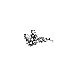 CN1CCN(C(=O)C2=C(c3ccc(C(F)(F)F)cc3)c3cc(OCCC(=O)O)ccc3OC2)CC1